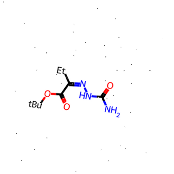 CC/C(=N/NC(N)=O)C(=O)OC(C)(C)C